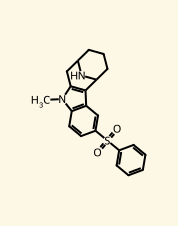 Cn1c2c(c3cc(S(=O)(=O)c4ccccc4)ccc31)C1CCCC(C2)N1